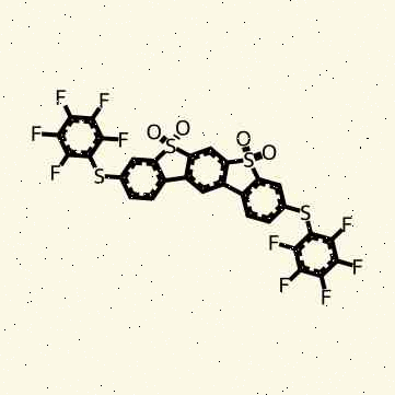 O=S1(=O)c2cc(Sc3c(F)c(F)c(F)c(F)c3F)ccc2-c2cc3c(cc21)S(=O)(=O)c1cc(Sc2c(F)c(F)c(F)c(F)c2F)ccc1-3